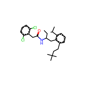 CCC(Cc1c(CCC(C)(C)C)cccc1C(C)C)NC(=O)Cc1c(Cl)cccc1Cl